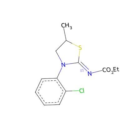 CCOC(=O)/N=C1\SC(C)CN1c1ccccc1Cl